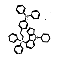 C1=CC(S(CCc2ccc(N(c3ccccc3)c3ccccc3)cc2)(c2ccccc2)c2cccc3c2c2c(n3C3C=CCCC3)CC=C2)=CCC1